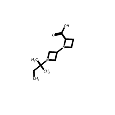 CCC(C)(C)N1CC(N2CCC2C(=O)O)C1